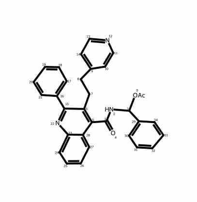 CC(=O)OC(NC(=O)c1c(CCc2ccncc2)c(-c2ccccc2)nc2ccccc12)c1ccccc1